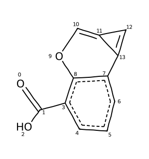 O=C(O)c1cccc2c1OC=C1C=C12